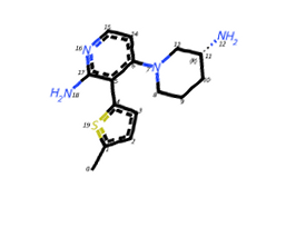 Cc1ccc(-c2c(N3CCC[C@@H](N)C3)ccnc2N)s1